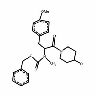 COc1ccc(CC(C(=O)N2CCC([O])CC2)N(C)C(=O)OCc2ccccc2)cc1